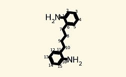 Nc1ccccc1CCCCc1ccccc1N